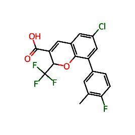 Cc1cc(-c2cc(Cl)cc3c2OC(C(F)(F)F)C(C(=O)O)=C3)ccc1F